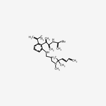 C=C/C=C/C(C)(C)N(C)CCCNc1cccc(C(=C)C)c1C(=C)C(=C)NC(=C)CCCC